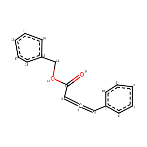 O=C(C=C=Cc1ccccc1)OCc1ccccc1